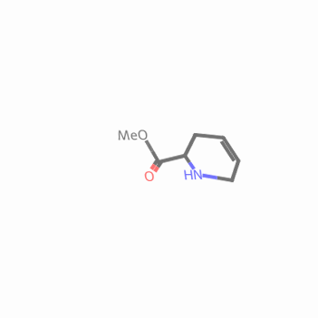 COC(=O)C1CC=CCN1